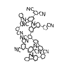 N#CC1=CCCC(c2ccc3c(c2)c2cc(-c4cc(C#N)cc(-c5ccc6c7ccccc7n(-c7cc(-c8cc(C#N)cc(C#N)c8)cc(-n8c9ccccc9c9ccc(-c%10cccc(C#N)c%10)cc98)c7C#N)c6c5)c4)ccc2n3-c2cc(-c3cc(C#N)cc(C#N)c3)cc(-n3c4ccccc4c4cc(-c5cccc(C#N)c5)ccc43)c2C#N)=C1